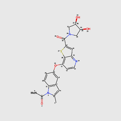 CNC(=O)n1c(C)cc2cc(Oc3ccnc4cc(C(=O)N5C[C@@H](O)[C@@H](O)C5)sc34)ccc21